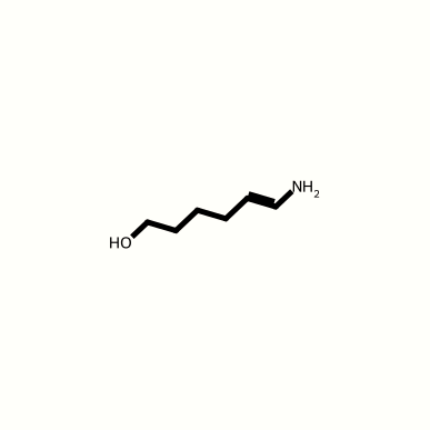 N/C=C/CCCCO